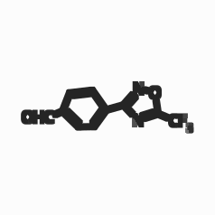 O=Cc1ccc(-c2noc(C(F)(F)F)n2)cc1